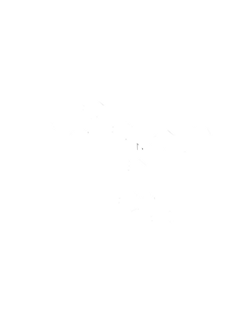 CC1(C)c2ccccc2-c2ccc(N(c3ccc(-c4cccc5c4sc4ccccc45)cc3)c3ccc(-c4cccc5c4sc4ccccc45)cc3)cc21